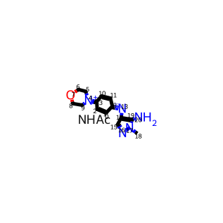 CC(=O)NC1=CC(=[N+]2CCOCC2)C=C/C1=N/c1cnn(C)c1N